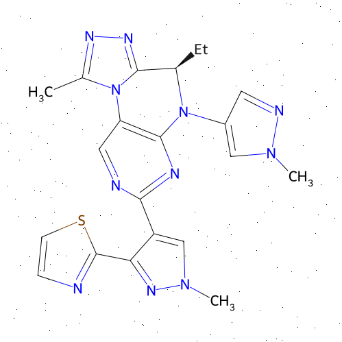 CC[C@@H]1c2nnc(C)n2-c2cnc(-c3cn(C)nc3-c3nccs3)nc2N1c1cnn(C)c1